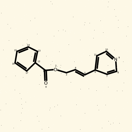 O=C(OCC=Cc1ccncc1)c1ccccc1